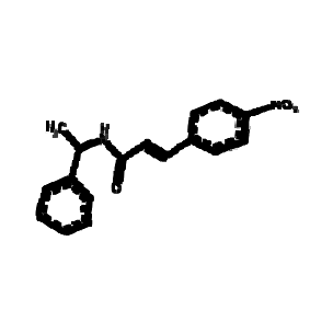 CC(NC(=O)C=Cc1ccc([N+](=O)[O-])cc1)c1ccccc1